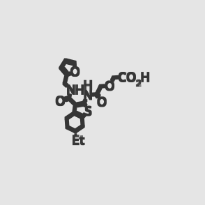 CC[C@@H]1CCc2c(sc(NC(=O)COCC(=O)O)c2C(=O)NCc2ccco2)C1